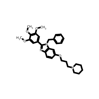 COc1cc(-c2nc3ccc(OCCCN4CCCCC4)cc3n2Cc2ccccc2)cc(OC)c1OC